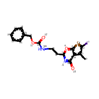 Cc1c(I)sc2oc(CCNC(=O)OCc3ccccc3)nc(=O)c12